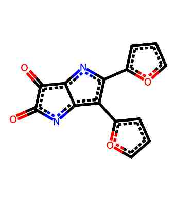 O=c1nc2c(-c3ccco3)c(-c3ccco3)nc-2c1=O